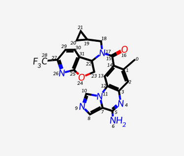 Cc1cc2nc(N)c3cncn3c2cc1C(=O)N(CC1CC1)C1COc2nc(C(F)(F)F)ccc21